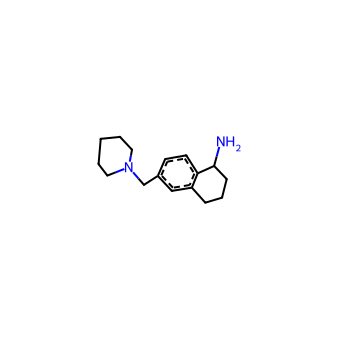 NC1CCCc2cc(CN3CCCCC3)ccc21